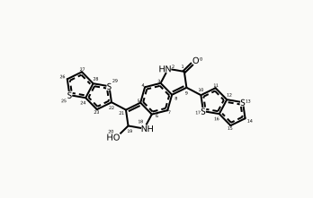 O=C1Nc2cc3c(cc2=C1c1cc2sccc2s1)NC(O)C=3c1cc2sccc2s1